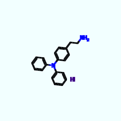 I.NCCc1ccc(N(c2ccccc2)c2ccccc2)cc1